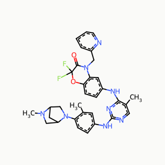 Cc1cc(Nc2ncc(C)c(Nc3ccc4c(c3)N(Cc3ccccn3)C(=O)C(F)(F)O4)n2)ccc1N1CC2CC1CN2C